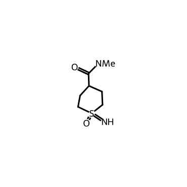 CNC(=O)C1CCS(=N)(=O)CC1